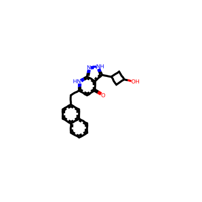 O=c1cc(Cc2ccc3ccccc3c2)[nH]c2n[nH]c(C3CC(O)C3)c12